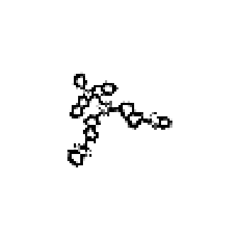 c1ccc(-n2c3cc4ccccc4cc3c3c(-c4nc(-c5ccc6cc(-c7nc8ccccc8o7)ccc6c5)nc(-c5ccc6cc(-c7nc8ccccc8o7)ccc6c5)n4)c4ccccc4cc32)cc1